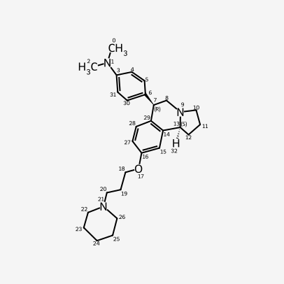 CN(C)c1ccc([C@H]2CN3CCC[C@H]3c3cc(OCCCN4CCCCC4)ccc32)cc1